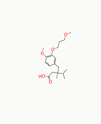 COCCCOc1cc(CC(C)(CC(=O)O)C(C)C)ccc1OC